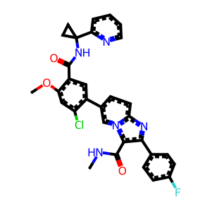 CNC(=O)c1c(-c2ccc(F)cc2)nc2ccc(-c3cc(C(=O)NC4(c5ccccn5)CC4)c(OC)cc3Cl)cn12